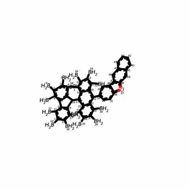 Bc1c(B)c(B)c2c(c1B)-c1c(B)c(B)c(B)c(B)c1C2c1c2c(B)c(B)c(B)c(B)c2c(-c2ccc3oc4cc5ccccc5cc4c3c2)c2c(B)c(B)c(B)c(B)c12